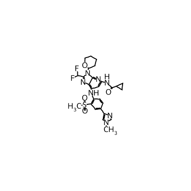 Cn1cnc(-c2ccc(Nc3cc(NC(=O)C4CC4)nc4c3nc(C(F)F)n4C3CCCCO3)c(S(C)(=O)=O)c2)c1